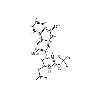 CC(C)CC(COc1cc2oc(=O)c3cnccc3c2cc1Br)NC(=O)OC(C)(C)C